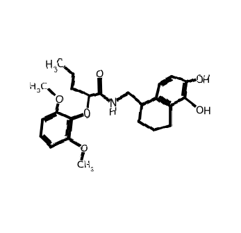 CCCC(Oc1c(OC)cccc1OC)C(=O)NCC1CCCc2c1ccc(O)c2O